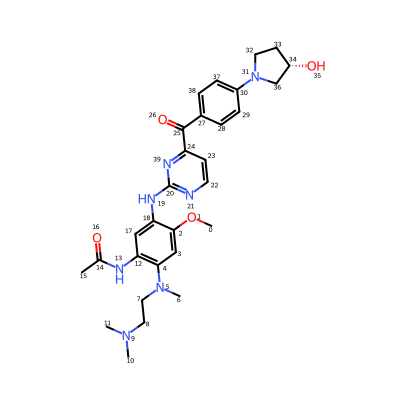 COc1cc(N(C)CCN(C)C)c(NC(C)=O)cc1Nc1nccc(C(=O)c2ccc(N3CC[C@H](O)C3)cc2)n1